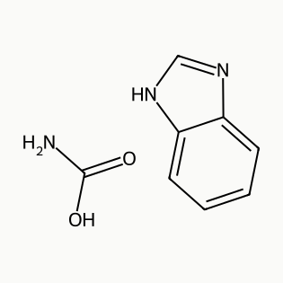 NC(=O)O.c1ccc2[nH]cnc2c1